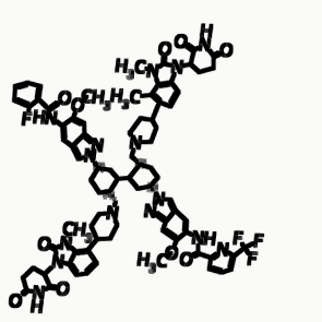 COc1cc2nn([C@H]3CC[C@H](CN4CCC(c5ccc6c(c5C)n(C)c(=O)n6C5CCC(=O)NC5=O)CC4)C(C4C[C@H](n5cc6cc(NC(=O)c7ccccc7F)c(OC)cc6n5)CC[C@H]4CN4CCC(c5cccc6c5n(C)c(=O)n6C5CCC(=O)NC5=O)CC4)C3)cc2cc1NC(=O)c1cccc(C(F)(F)F)n1